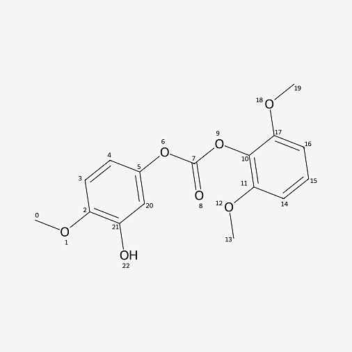 COc1ccc(OC(=O)Oc2c(OC)cccc2OC)cc1O